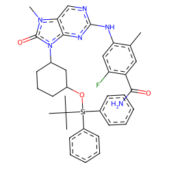 Cc1cc(C(N)=O)c(F)cc1Nc1ncc2c(n1)n(C1CCCC(O[Si](c3ccccc3)(c3ccccc3)C(C)(C)C)C1)c(=O)n2C